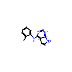 Cc1ccccc1Nc1ncnc2[nH]ccc12